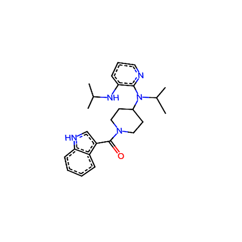 CC(C)Nc1cccnc1N(C(C)C)C1CCN(C(=O)c2c[nH]c3ccccc23)CC1